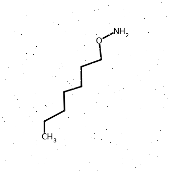 CCCCCCCON